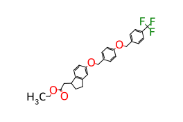 CCOC(=O)CC1CCc2cc(OCc3ccc(OCc4ccc(C(F)(F)F)cc4)cc3)ccc21